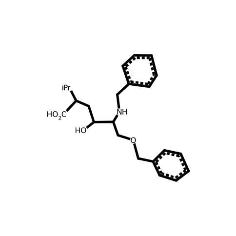 CC(C)C(CC(O)C(COCc1ccccc1)NCc1ccccc1)C(=O)O